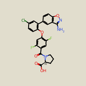 Nc1noc2ccc(-c3cc(Cl)ccc3Oc3cc(F)c(C(=O)N4CCC[C@H]4C(=O)O)cc3F)cc12